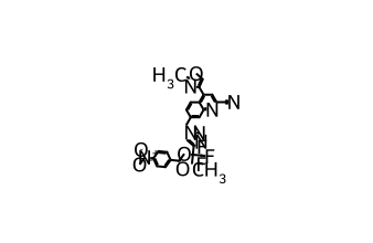 CCC(OC(=O)c1ccc([N+](=O)[O-])cc1)(c1cn(Cc2ccc3c(-c4coc(C)n4)cc(C#N)nc3c2)nn1)C(F)(F)F